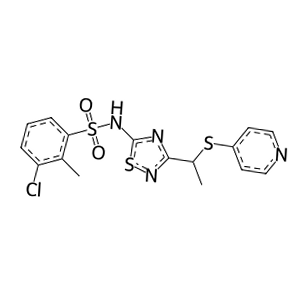 Cc1c(Cl)cccc1S(=O)(=O)Nc1nc(C(C)Sc2ccncc2)ns1